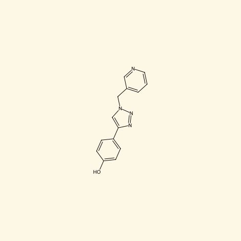 Oc1ccc(-c2cn(Cc3cccnc3)nn2)cc1